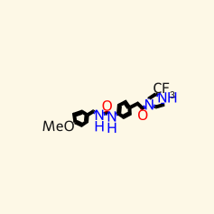 COc1ccc(CNC(=O)Nc2ccc(CC(=O)N3CCNC(C(F)(F)F)C3)cc2)cc1